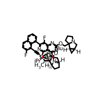 CC(C)[Si](C#Cc1c(F)ccc2cccc(-c3nc4c5c(nc(OCC67CCCN6C[C@H]6C[C@H]67)nc5c3F)N3C[C@H]5CC[C@@H]([C@H]3[C@H](C)O4)N5C(=O)OC(C)(C)C)c12)(C(C)C)C(C)C